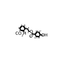 O=C(OCCc1ccccc1C(=O)O)c1ccc(O)cc1